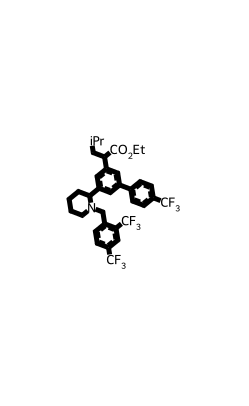 CCOC(=O)C(CC(C)C)c1cc(-c2ccc(C(F)(F)F)cc2)cc(C2CCCCN2Cc2ccc(C(F)(F)F)cc2C(F)(F)F)c1